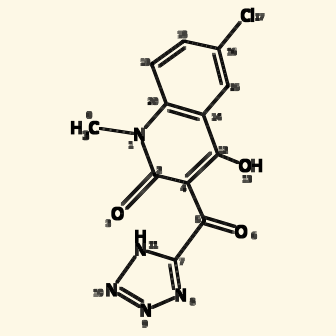 Cn1c(=O)c(C(=O)c2nnn[nH]2)c(O)c2cc(Cl)ccc21